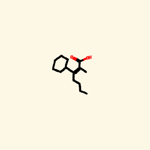 CCCCC(=C(C)C(=O)O)C1CCCCC1